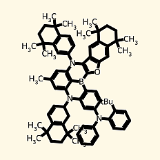 Cc1cc2c3c(c1)N(C1C=CC4=C(C1)C(C)(C)CCC4(C)C)c1cc(N(c4ccccc4)c4ccccc4C(C)(C)C)ccc1B3c1oc3cc4c(cc3c1N2c1ccc2c(c1)C(C)(C)CCC2(C)C)C(C)(C)CCC4(C)C